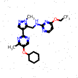 Cc1nc(-c2cnn(C)c2CNc2nccc(OCC(F)(F)F)n2)ncc1OC1CCCCC1